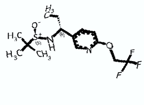 CC[C@@H](N[S@+]([O-])C(C)(C)C)c1ccc(OCC(F)(F)F)nc1